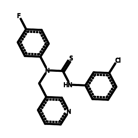 Fc1ccc(N(Cc2cccnc2)C(=S)Nc2cccc(Cl)c2)cc1